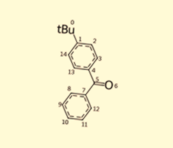 CC(C)(C)c1ccc(C(=O)c2ccccc2)cc1